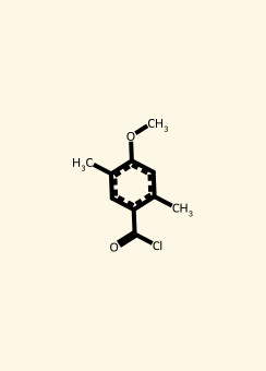 COc1cc(C)c(C(=O)Cl)cc1C